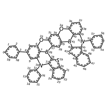 c1ccc(-c2cc3c4c(c2)N(c2ccccc2)c2c(sc5ccccc25)B4c2cc4c(cc2O3)Oc2cccc3c2B4c2sc4ccccc4c2N3c2ccccc2)cc1